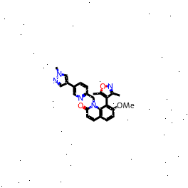 COc1ccc2ccc(=O)n(Cc3ccc(-c4cnn(C)c4)cn3)c2c1-c1c(C)noc1C